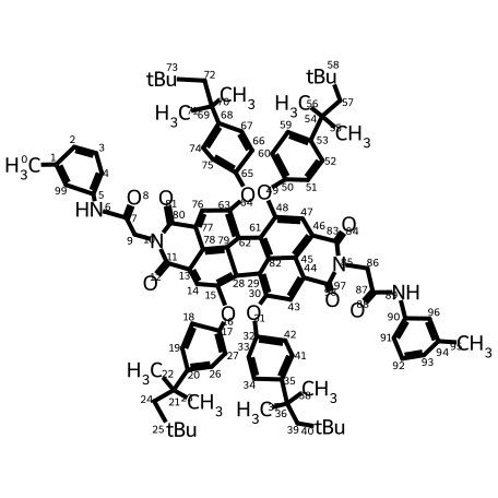 Cc1cccc(NC(=O)CN2C(=O)c3cc(Oc4ccc(C(C)(C)CC(C)(C)C)cc4)c4c5c(Oc6ccc(C(C)(C)CC(C)(C)C)cc6)cc6c7c(cc(Oc8ccc(C(C)(C)CC(C)(C)C)cc8)c(c8c(Oc9ccc(C(C)(C)CC(C)(C)C)cc9)cc(c3c48)C2=O)c75)C(=O)N(CC(=O)Nc2cccc(C)c2)C6=O)c1